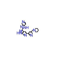 c1cc2[nH]c(-c3n[nH]c4cnc(-c5cncc(CN6CCCCC6)c5)cc34)nc2cn1